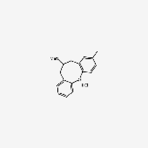 CNC1Cc2ccccc2Oc2ccc(C)cc2C1.Cl